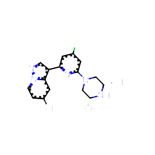 C[C@@H]1CN(c2cc(Cl)cc(-c3cnn4ccc(C(F)(F)F)cc34)n2)C[C@H](C)N1